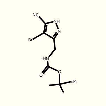 CCCC(C)(C)OC(=O)NCc1n[nH]c(C#N)c1Br